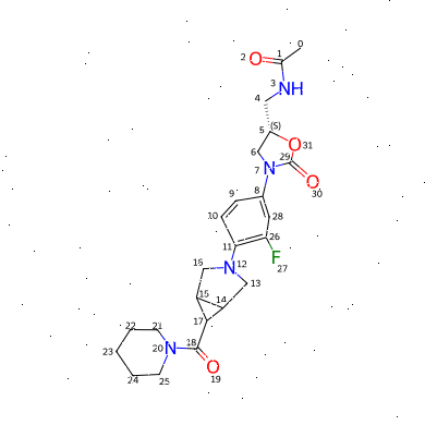 CC(=O)NC[C@H]1CN(c2ccc(N3CC4C(C3)C4C(=O)N3CCCCC3)c(F)c2)C(=O)O1